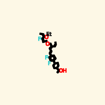 C\C=C/C(=C\C=C\c1ccc(C2CCC(C(C)O)CC2)c(F)c1F)COC/C=C(F)\C(=C/C)OCC